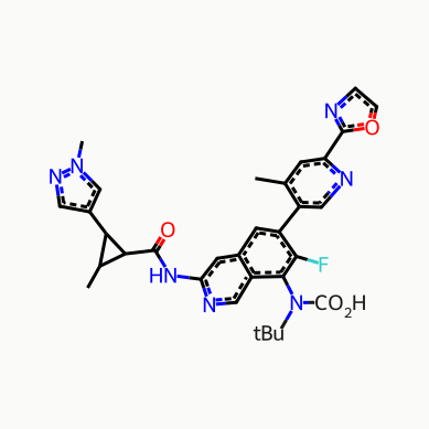 Cc1cc(-c2ncco2)ncc1-c1cc2cc(NC(=O)C3C(C)C3c3cnn(C)c3)ncc2c(N(C(=O)O)C(C)(C)C)c1F